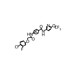 O=C(COc1ccc(Cl)c(F)c1)NC12CCC(C(=O)Nc3ccc(OC(F)(F)F)nc3)(CC1)CC2